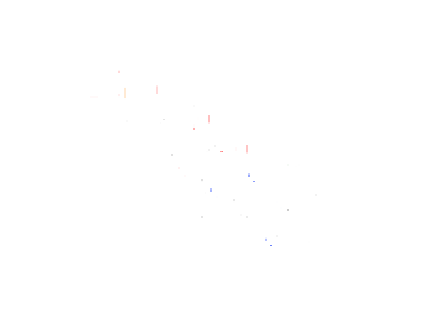 C[C@H](Nc1nc(Cl)nc2c1c(F)cn2[C@@H]1OC(COCP(=O)(O)O)[C@@H](O)[C@H]1O)c1ccccc1